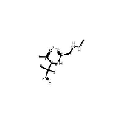 CNNCC(=O)NC(C(C)=O)C(C)(C)C=O